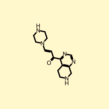 O=C(C=CN1CCNCC1)c1ncnc2c1CCNC2